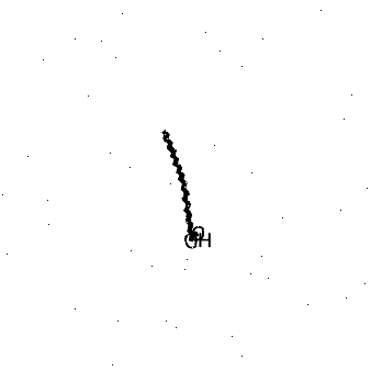 CC=CCC=CCCC=CCC=CCCC=CCCC=CCCC(=O)O